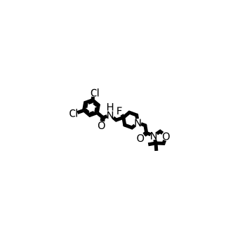 CC1(C)COCN1C(=O)CN1CCC(F)(CNC(=O)c2cc(Cl)cc(Cl)c2)CC1